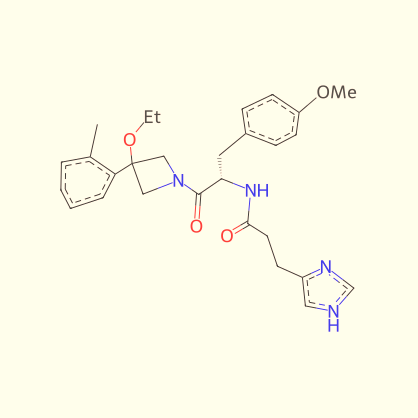 CCOC1(c2ccccc2C)CN(C(=O)[C@H](Cc2ccc(OC)cc2)NC(=O)CCc2c[nH]cn2)C1